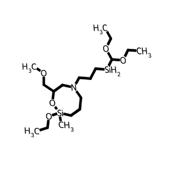 CCOC(OCC)[SiH2]CCCN1CCC[Si](C)(OCC)OC(COC)C1